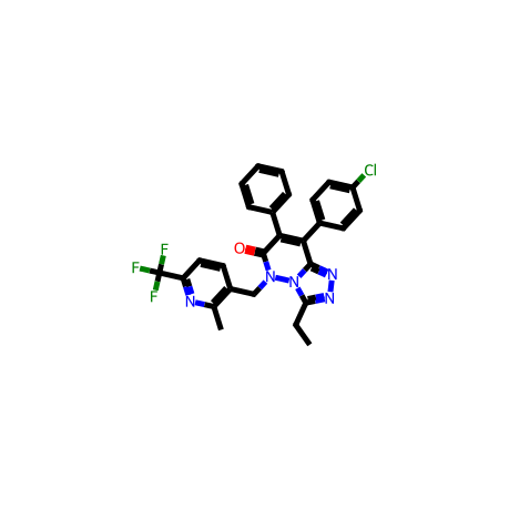 CCc1nnc2c(-c3ccc(Cl)cc3)c(-c3ccccc3)c(=O)n(Cc3ccc(C(F)(F)F)nc3C)n12